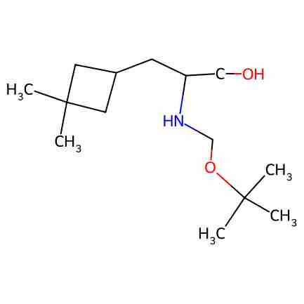 CC1(C)CC(CC(CO)NCOC(C)(C)C)C1